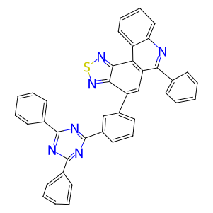 c1ccc(-c2nc(-c3ccccc3)nc(-c3cccc(-c4cc5c(-c6ccccc6)nc6ccccc6c5c5nsnc45)c3)n2)cc1